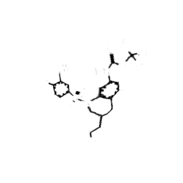 COc1cc(S(=O)(=O)N2CC(CCC(=O)O)Cc3ccc(NC(=O)OC(C)(C)C(F)(F)F)cc32)ccc1F